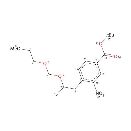 COCCOCOC(C)Cc1ccc(C(=O)OC(C)(C)C)cc1[N+](=O)[O-]